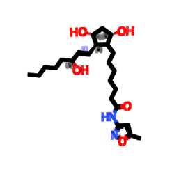 CCCCC[C@H](O)/C=C/[C@@H]1C(CCCCCCC(=O)Nc2cc(C)on2)[C@@H](O)C[C@H]1O